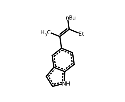 CCCC/C(CC)=C(\C)c1ccc2[nH]ccc2c1